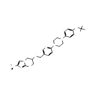 O=[N+]([O-])c1cn2c(n1)OCC(NCc1ccc(N3CCN(c4ccc(OC(F)(F)F)cc4)CC3)nc1)C2